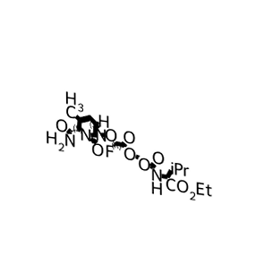 CCOC(=O)C(NC(=O)OCOC(=O)[C@@H](F)ON1C(=O)N2C[C@@H]1C=C(C)[C@H]2C(N)=O)C(C)C